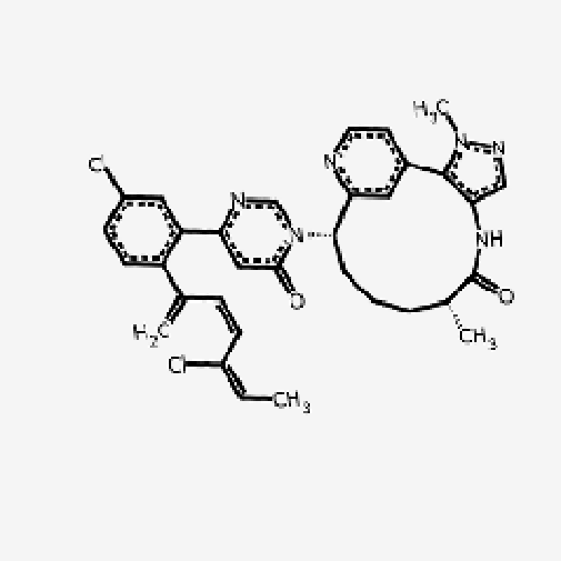 C=C(/C=C\C(Cl)=C/C)c1ccc(Cl)cc1-c1cc(=O)n([C@H]2CCC[C@@H](C)C(=O)Nc3cnn(C)c3-c3ccnc2c3)cn1